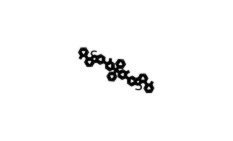 Cc1cc(C(c2ccccc2)(c2ccccc2)c2ccc(-c3ccc4sc5c(-c6ccccc6C)cccc5c4c3)c(C)c2)ccc1-c1ccc2sc3c(-c4ccccc4C)cccc3c2c1